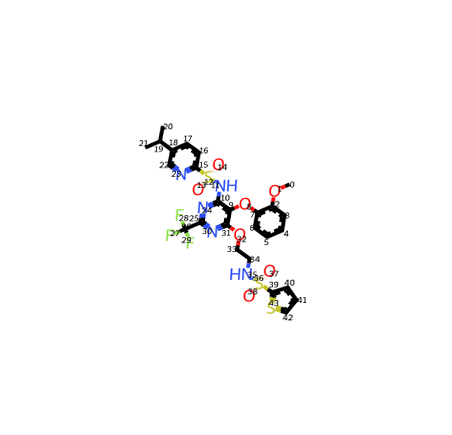 COc1ccccc1Oc1c(NS(=O)(=O)c2ccc(C(C)C)cn2)nc(C(F)(F)F)nc1OCCNS(=O)(=O)c1cccs1